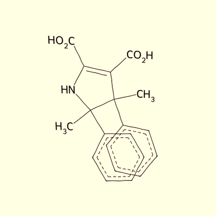 CC1(c2ccccc2)NC(C(=O)O)=C(C(=O)O)C1(C)c1ccccc1